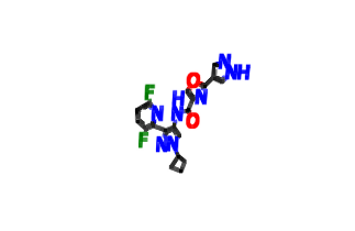 O=C(Nc1cn(C2CCC2)nc1-c1nc(F)ccc1F)c1coc(-c2cn[nH]c2)n1